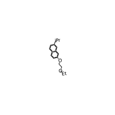 CCOCCOc1ccc2ccc(C(C)C)cc2c1